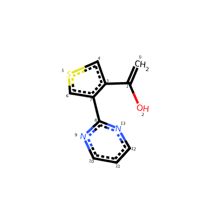 C=C(O)c1cscc1-c1ncccn1